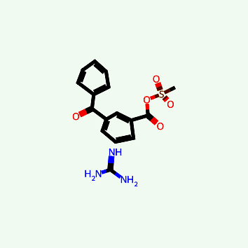 CS(=O)(=O)OC(=O)c1cccc(C(=O)c2ccccc2)c1.N=C(N)N